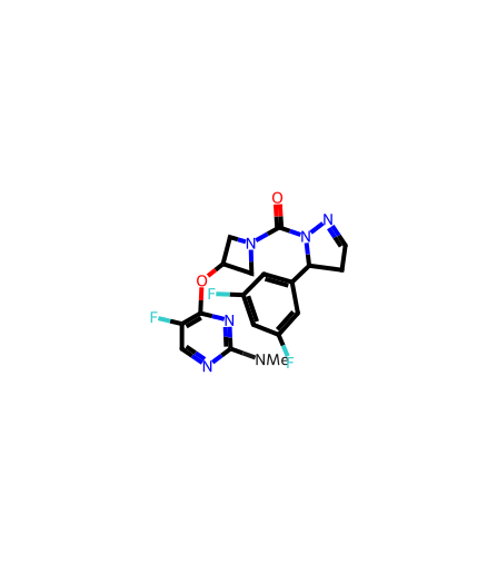 CNc1ncc(F)c(OC2CN(C(=O)N3N=CCC3c3cc(F)cc(F)c3)C2)n1